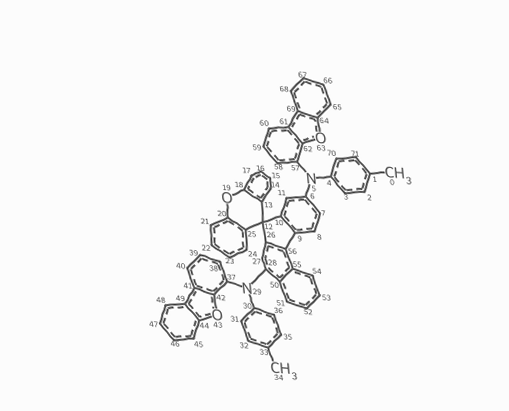 Cc1ccc(N(c2ccc3c(c2)C2(c4ccccc4Oc4ccccc42)c2cc(N(c4ccc(C)cc4)c4cccc5c4oc4ccccc45)c4ccccc4c2-3)c2cccc3c2oc2ccccc23)cc1